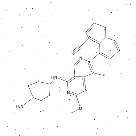 C#Cc1cccc2cccc(-c3ncc4c(NC5CCC(N)CC5)nc(OC)nc4c3F)c12